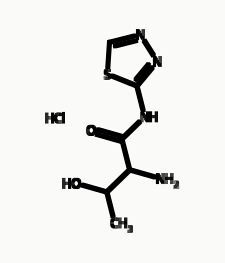 CC(O)C(N)C(=O)Nc1nncs1.Cl